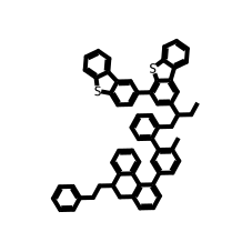 CCC(Cc1ccccc1-c1cc(-c2cccc3c2-c2ccccc2C(CCc2ccccc2)C3)ccc1C)c1cc(-c2ccc3sc4ccccc4c3c2)c2sc3ccccc3c2c1